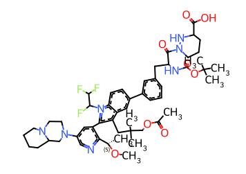 CO[C@@H](C)c1ncc(N2CCN3CCCCC3C2)cc1-c1c(CC(C)(C)COC(C)=O)c2cc(-c3cccc(CC(NC(=O)OC(C)(C)C)C(=O)N4CCCC(C(=O)O)N4)c3)ccc2n1C(F)C(F)F